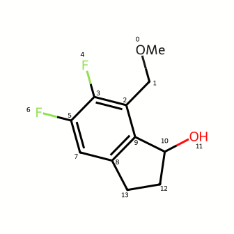 COCc1c(F)c(F)cc2c1C(O)CC2